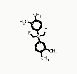 Cc1ccc(S(CF)(CF)c2ccc(C)c(C)c2)cc1C